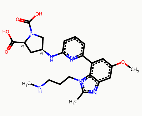 CNCCCn1c(C)nc2cc(OC)cc(-c3cccc(N[C@H]4C[C@@H](C(=O)O)N(C(=O)O)C4)n3)c21